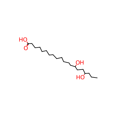 CCCC(O)CCC(O)CCCCCCCCCCCCC(=O)O